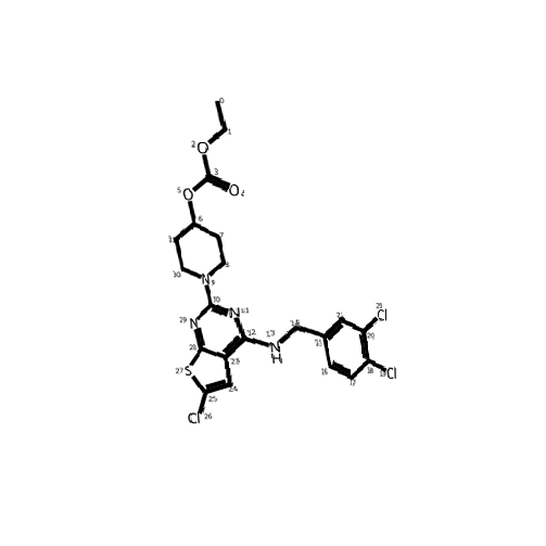 CCOC(=O)OC1CCN(c2nc(NCc3ccc(Cl)c(Cl)c3)c3cc(Cl)sc3n2)CC1